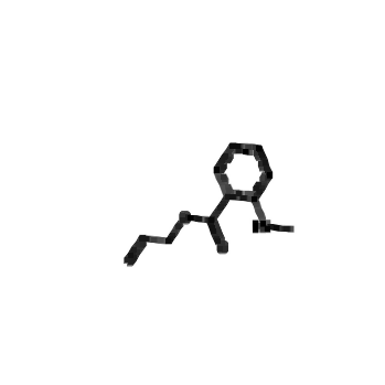 C=CCOC(=O)c1ccccc1NC